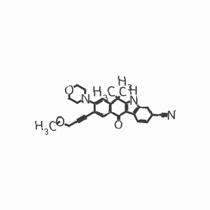 COCC#Cc1cc2c(cc1N1CCOCC1)C(C)(C)c1[nH]c3c(c1C2=O)C=CC(C#N)C3